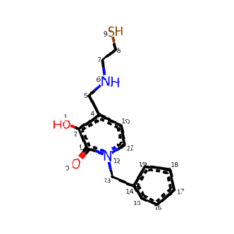 O=c1c(O)c(CNCCS)ccn1Cc1ccccc1